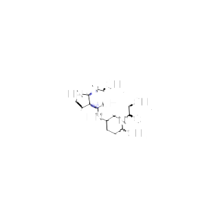 C=C/N=C1/NC=C/C1=C(/C)NC1CCC(C)N(C(=O)C=C)C1